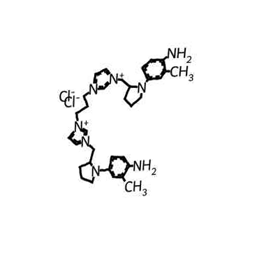 Cc1cc(N2CCCC2Cn2cc[n+](CCCn3cc[n+](CC4CCCN4c4ccc(N)c(C)c4)c3)c2)ccc1N.[Cl-].[Cl-]